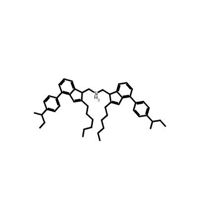 CCCCCCC1=Cc2c(-c3ccc(C(C)CC)cc3)cccc2C1C[SiH2]CC1C(CCCCCC)=Cc2c(-c3ccc(C(C)CC)cc3)cccc21